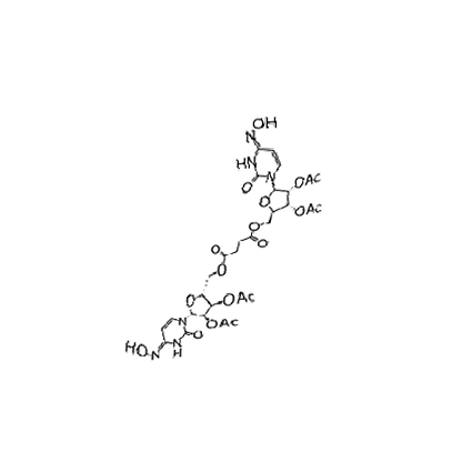 CC(=O)O[C@@H]1[C@H](OC(C)=O)[C@@H](COC(=O)CCC(=O)OC[C@H]2O[C@@H](n3cc/c(=N\O)[nH]c3=O)[C@H](OC(C)=O)[C@@H]2OC(C)=O)O[C@H]1n1cc/c(=N\O)[nH]c1=O